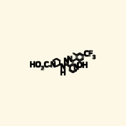 Cc1cc(C(F)(F)F)cc(O)c1-c1nnc(NC2CCCN(CC(=O)O)C2)c2cccnc12